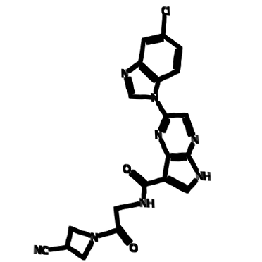 N#CC1CN(C(=O)CNC(=O)c2c[nH]c3ncc(-n4cnc5cc(Cl)ccc54)nc23)C1